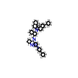 Nc1ccccc1/C(=N\Cc1ccc(-n2c3c(c4c5ccc(-c6ccccc6)cc5ccc42)[C@H]2C=CC=CC2C=C3)c2ccccc12)c1ccc(-c2ccc(-c3ccccc3)cc2)cc1